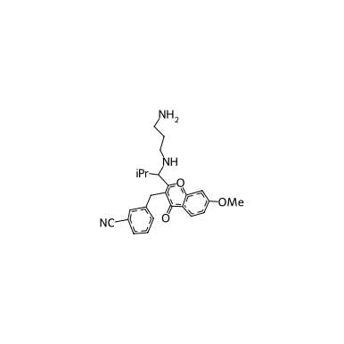 COc1ccc2c(=O)c(Cc3cccc(C#N)c3)c(C(NCCCN)C(C)C)oc2c1